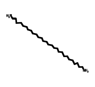 NC=CCCCCCCCCCCCCCCCCCCCCCCCCCCN